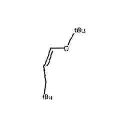 CC(C)(C)C/C=C\OC(C)(C)C